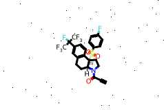 C#CC(=O)N1CC[C@]2(S(=O)(=O)c3ccc(F)cc3)c3ccc(C(F)(C(F)(F)F)C(F)(F)F)cc3CC[C@H]12